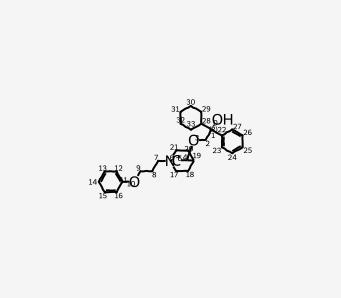 O[C@@](COC1C[N+]2(CCCOc3ccccc3)CCC1CC2)(c1ccccc1)C1CCCCC1